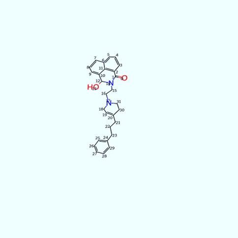 O=C1c2cccc3cccc(c23)C(O)N1CCN1CC=C(CCCc2ccccc2)CC1